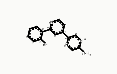 Nc1cnc(-c2ccnc(-c3ccccc3F)c2)cn1